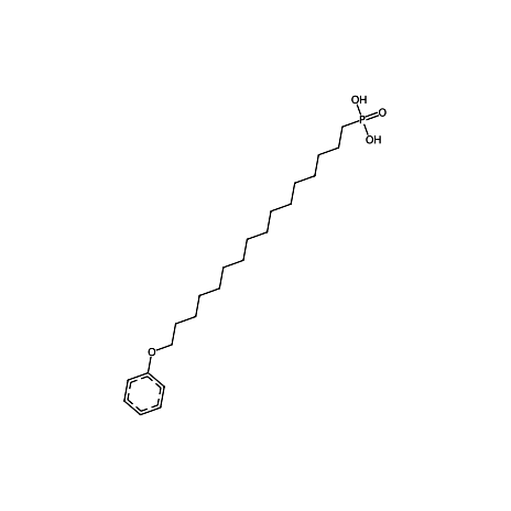 O=P(O)(O)CCCCCCCCCCCCCCCCOc1ccccc1